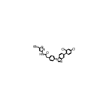 CC(C)(C)c1cc(NC(=O)Cc2ccc(-n3cnc4cc(-c5ccc(Cl)cc5Cl)ccc43)cc2)no1